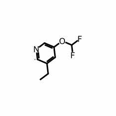 CCc1[c]ncc(OC(F)F)c1